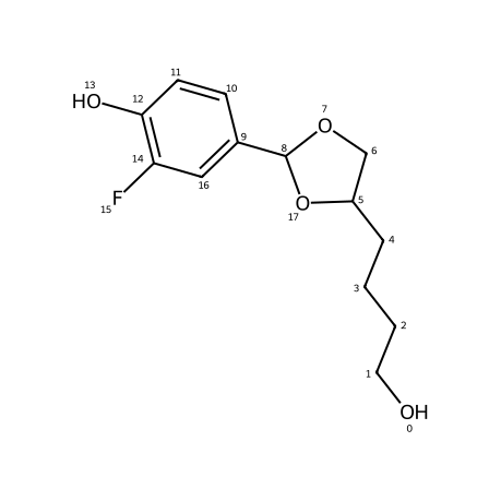 OCCCCC1COC(c2ccc(O)c(F)c2)O1